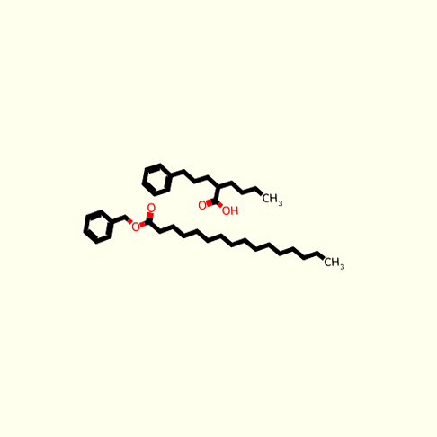 CCCCC(CCCc1ccccc1)C(=O)O.CCCCCCCCCCCCCCCC(=O)OCc1ccccc1